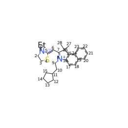 CCN1CCS/C1=C\C1=[N+](CCC2CCCC2)c2ccc3ccccc3c2C1(C)C